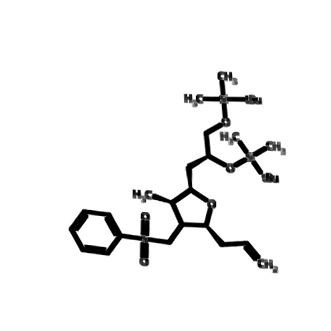 C=CC[C@@H]1O[C@H](C[C@@H](CO[Si](C)(C)C(C)(C)C)O[Si](C)(C)C(C)(C)C)[C@H](C)C1CS(=O)(=O)c1ccccc1